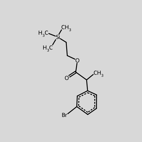 CC(C(=O)OCC[Si](C)(C)C)c1cccc(Br)c1